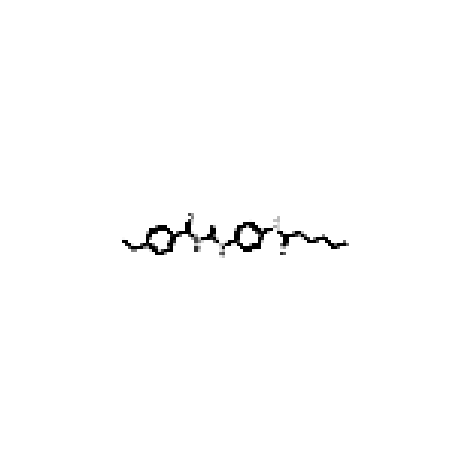 CCCCCC(=O)Nc1ccc(NC(=S)NC(=O)c2ccc(CC)cc2)cc1